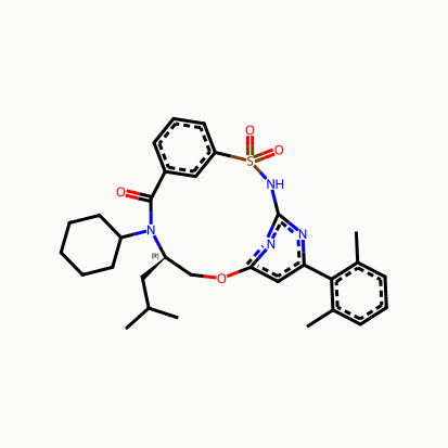 Cc1cccc(C)c1-c1cc2nc(n1)NS(=O)(=O)c1cccc(c1)C(=O)N(C1CCCCC1)[C@H](CC(C)C)CO2